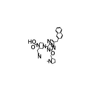 CN1CCCC1COc1nc(N2CCN(C(=O)O)C(CC#N)C2)c2ncc(Cc3ccc4ccccc4c3)n2n1